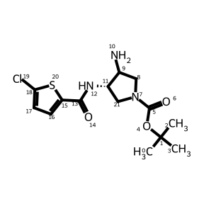 CC(C)(C)OC(=O)N1CC(N)[C@@H](NC(=O)c2ccc(Cl)s2)C1